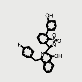 O=S1(=O)N=C(c2nc(Cc3ccc(F)cc3)c3ccccc3c2O)c2cccc(-c3cccc(O)c3)c21